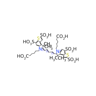 CC1(C)C(/C=C/C=C/C=C2/N(CCCCCC(=O)O)c3cc(S(=O)(=O)O)c4sc(S(=O)(=O)O)cc4c3C2(C)C)=[N+](CCCCCC(=O)O)c2cc(S(=O)(=O)O)c3sc(S(=O)(=O)O)cc3c21